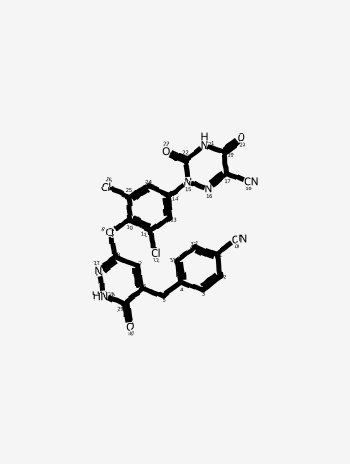 N#Cc1ccc(Cc2cc(Oc3c(Cl)cc(-n4nc(C#N)c(=O)[nH]c4=O)cc3Cl)n[nH]c2=O)cc1